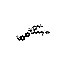 CN(C)CCN1CCN(C(=O)N(CCCCCCC(=O)NO)c2ccc(-c3ccc4cc[nH]c4c3)cc2)CC1